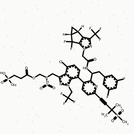 CC(C)(C#Cc1ccc(-c2ccc(Cl)c3c(CN(COC(=O)CCP(=O)(O)O)[SH](=O)=O)nn(CC(F)(F)F)c23)c(C(Cc2cc(F)cc(F)c2)NC(=O)Cn2nc(C(F)(F)F)c3c2C(F)(F)[C@@H]2C[C@H]32)n1)S(C)(=O)=O